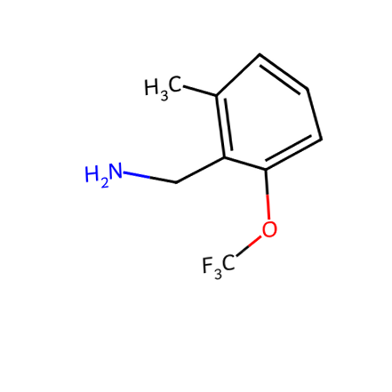 Cc1cccc(OC(F)(F)F)c1CN